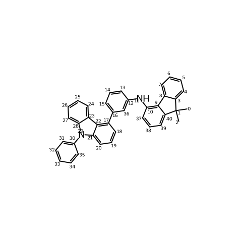 CC1(C)c2ccccc2-c2c(Nc3cccc(-c4cccc5c4c4ccccc4n5-c4ccccc4)c3)cccc21